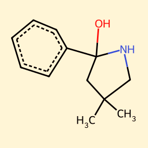 CC1(C)CNC(O)(c2ccccc2)C1